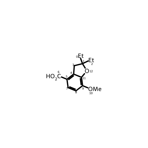 CCC1(CC)Cc2c(C(=O)O)ccc(OC)c2O1